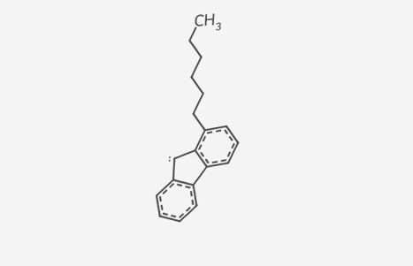 CCCCCCc1cccc2c1[C]c1ccccc1-2